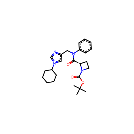 CC(C)(C)OC(=O)N1CC[C@@H]1C(=O)N(Cc1cn(C2CCCCC2)cn1)c1ccccc1